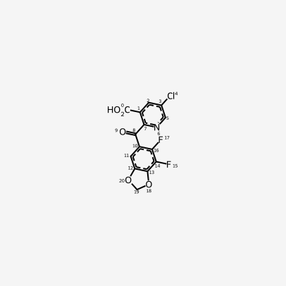 O=C(O)c1cc(Cl)cnc1C(=O)c1cc2c(c(F)c1F)OCO2